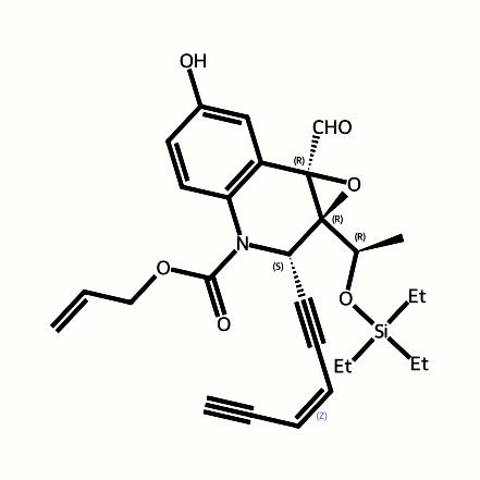 C#C/C=C\C#C[C@@H]1N(C(=O)OCC=C)c2ccc(O)cc2[C@@]2(C=O)O[C@@]12[C@@H](C)O[Si](CC)(CC)CC